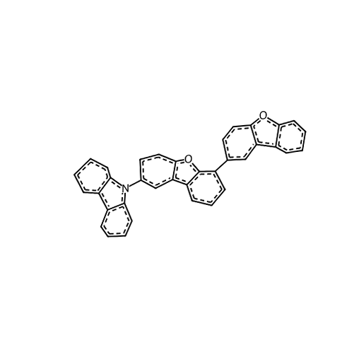 c1ccc2c(c1)oc1ccc(-c3cccc4c3oc3ccc(-n5c6ccccc6c6ccccc65)cc34)cc12